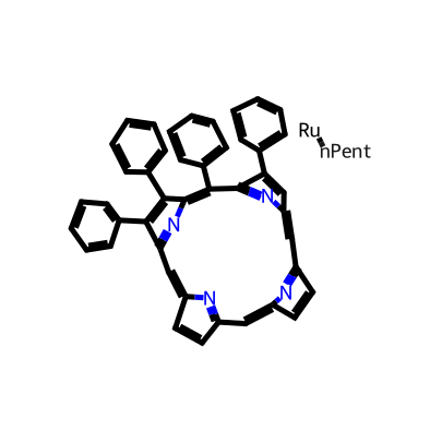 C1=CC2=NC1=CC1=NC(=C(c3ccccc3)C3=NC(=CC4=NC(=C2)C=C4)C=C3c2ccccc2)C(c2ccccc2)=C1c1ccccc1.CCCC[CH2][Ru]